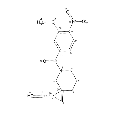 C#C[C@H]1C[C@@]12CCCN(C(=O)c1ccc([N+](=O)[O-])c(OC)c1)C2